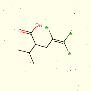 CC(C)C(CC(Br)=C(Br)Br)C(=O)O